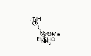 CC[C@](N)(C=O)CCN(CCCCc1ccc2c(n1)NCCC2)C[C@H](F)COC